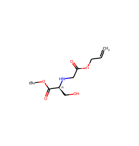 C=CCOC(=O)CN[C@@H](CO)C(=O)OC(C)(C)C